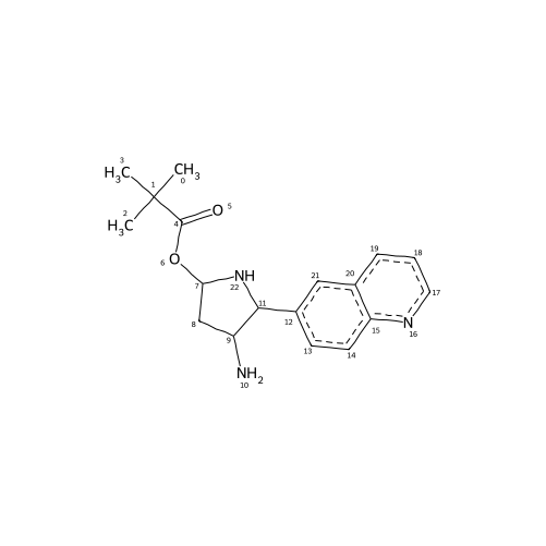 CC(C)(C)C(=O)OC1CC(N)C(c2ccc3ncccc3c2)N1